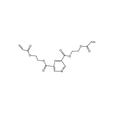 C=CC(=O)OCCOC(=O)c1cncc(C(=O)OCCOC(=O)C=C)c1